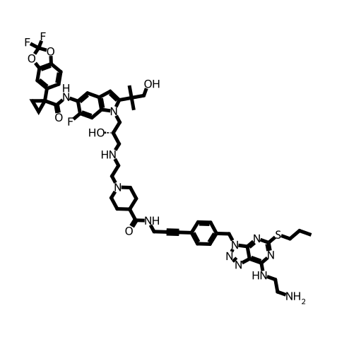 CCCSc1nc(NCCN)c2nnn(Cc3ccc(C#CCNC(=O)C4CCN(CCNC[C@H](O)Cn5c(C(C)(C)CO)cc6cc(NC(=O)C7(c8ccc9c(c8)OC(F)(F)O9)CC7)c(F)cc65)CC4)cc3)c2n1